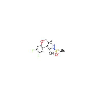 CC(C)(C)[S+]([O-])N[C@H](C#N)C1c2cc(F)c(F)cc2OCC12CC2